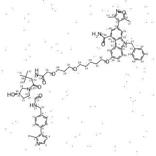 Cc1ncsc1-c1ccc(CNC(=O)[C@@H]2C[C@@H](O)CN2C(=O)[C@@H](NC(=O)COCCCOCCCCCOc2ccc3c(c2)c2c(C(N)=O)cc(-c4c(C)noc4C)cc2n3Cc2ccccc2)C(C)(C)C)cc1